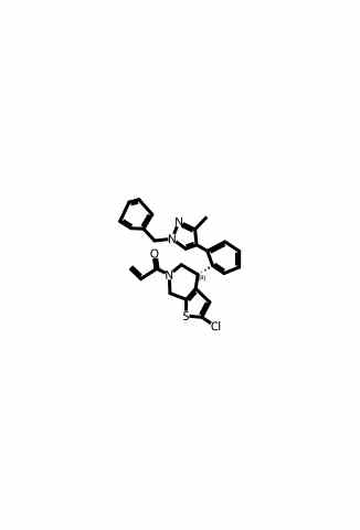 C=CC(=O)N1Cc2sc(Cl)cc2[C@@H](c2ccccc2-c2cn(Cc3ccccc3)nc2C)C1